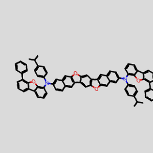 CC(C)c1ccc(N(c2ccc3cc4c(cc3c2)oc2cc3c(cc24)oc2cc4cc(N(c5ccc(C(C)C)cc5)c5cccc6c5oc5c(-c7ccccc7)cccc56)ccc4cc23)c2cccc3c2oc2c(-c4ccccc4)cccc23)cc1